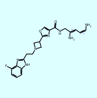 N/C=C\C=C(/N)CNC(=O)c1coc(C2CN(CCc3nc4c(F)cccc4[nH]3)C2)n1